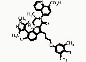 Cc1cc(OCCCc2c3n(c4c(-c5c(C)nn(C)c5C)c(Cl)ccc24)C[C@@H](C)N(c2ccc(C(=O)O)c4ncccc24)C3=O)cc(C)c1Cl